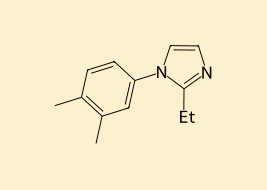 CCc1nccn1-c1ccc(C)c(C)c1